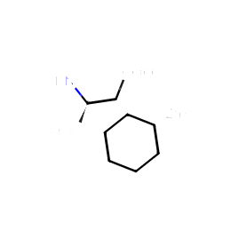 C1CCCCC1.N[C@@H](CC(=O)[O-])C(=O)[O-].[Zn+2]